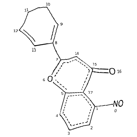 O=Nc1cccc2oc(C3=CCCC=C3)cc(=O)c12